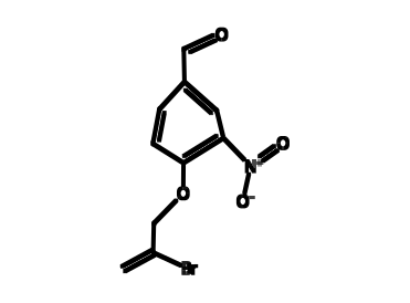 C=C(Br)COc1ccc(C=O)cc1[N+](=O)[O-]